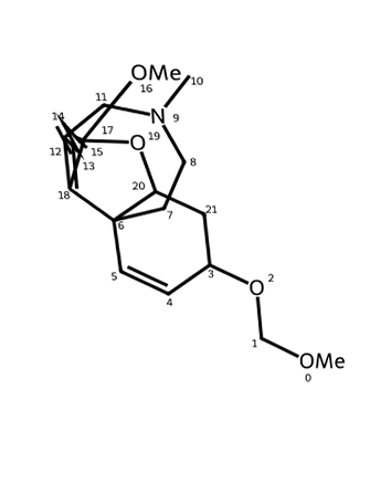 COCOC1C=CC23CCN(C)Cc4ccc(OC)c(c42)OC3C1